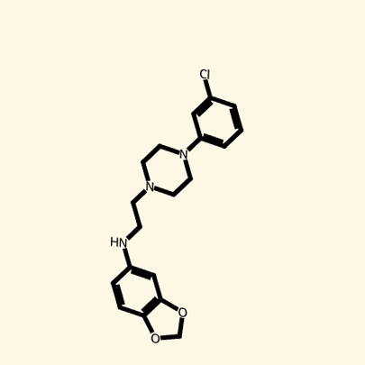 Clc1cccc(N2CCN(CCNc3ccc4c(c3)OCO4)CC2)c1